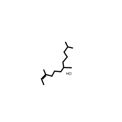 CC=C(C)CCCC(C)CCCC(C)C.Cl